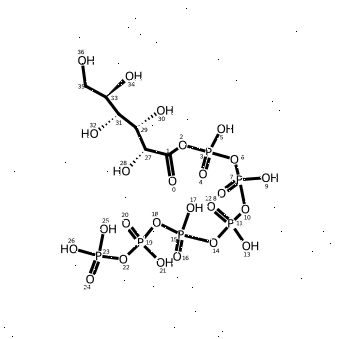 O=C(OP(=O)(O)OP(=O)(O)OP(=O)(O)OP(=O)(O)OP(=O)(O)OP(=O)(O)O)[C@H](O)[C@@H](O)[C@H](O)[C@H](O)CO